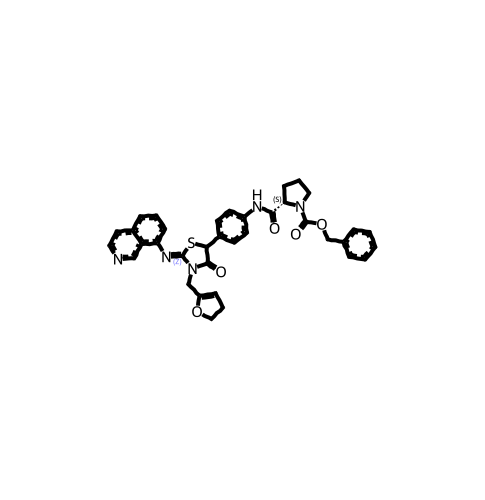 O=C(Nc1ccc(C2S/C(=N\c3cccc4ccncc34)N(CC3=CCCO3)C2=O)cc1)[C@@H]1CCCN1C(=O)OCc1ccccc1